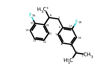 CC(C)c1ccc(CC(C)c2ccccc2F)c(F)c1